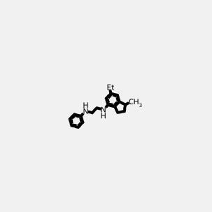 CCc1cc(NCCNc2ccccc2)c2c(c1)C(C)CC2